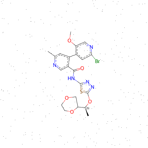 COc1cnc(Br)cc1-c1cc(C)ncc1C(=O)Nc1nnc(O[C@@H](C)C2COCCO2)s1